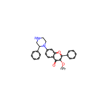 CCCOc1c(-c2ccccc2)oc2cc(N3CCNCC3c3ccccc3)ccc2c1=O